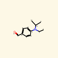 CCN(c1ccc(C=O)cc1)C(C)C